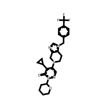 O=c1c(C2CC2)c(N2CCc3c(ncn3Cc3ccc(C(F)(F)F)cc3)C2)cnn1C1CCCCO1